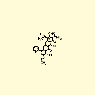 CSCc1cc(-c2ccccn2)c2c(c1O)C(=O)C1=C(O)C3C(=O)C(C(N)=O)=C(O)[C@H](N(C)C)C3CC1C2